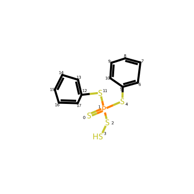 S=P(SS)(Sc1ccccc1)Sc1ccccc1